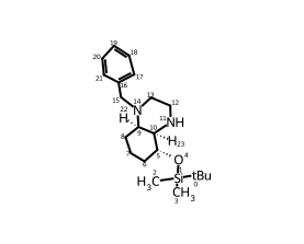 CC(C)(C)[Si](C)(C)O[C@@H]1CCC[C@@H]2[C@H]1NCCN2Cc1ccccc1